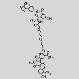 Cc1ncsc1-c1ccc(CNC(=O)[C@@H]2C[C@@H](O)CN2C(=O)[C@@H](NC(=O)COCCCOCCCCOc2ncc(N3C(=S)N(c4ccc(C#N)c(C(F)(F)F)c4F)C(=O)C3(C)C)cc2C(N)=O)C(C)(C)C)cc1